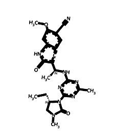 CC[C@H]1CN(C)C(=O)N1c1nc(C)nc(N[C@@H](C)c2cc3cc(C#N)c(OC)cc3[nH]c2=O)n1